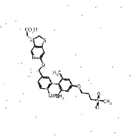 COc1ccc(COc2cc3c(cn2)[C@H](CC(=O)O)CS3)cc1-c1c(C)cc(OCCCS(C)(=O)=O)cc1C